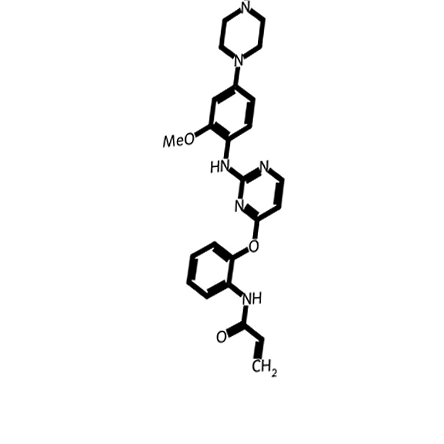 C=CC(=O)Nc1ccccc1Oc1ccnc(Nc2ccc(N3CCN(C(C)=O)CC3)cc2OC)n1